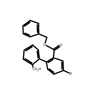 O=C(O)c1ccccc1-c1ccc(Br)cc1C(=O)OCc1ccccc1